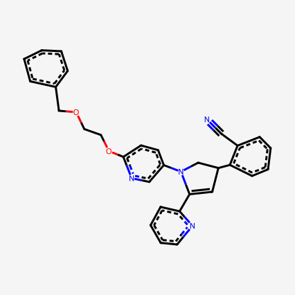 N#Cc1ccccc1C1C=C(c2ccccn2)N(c2ccc(OCCOCc3ccccc3)nc2)C1